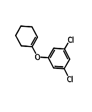 Clc1cc(Cl)cc(OC2=CCCCC2)c1